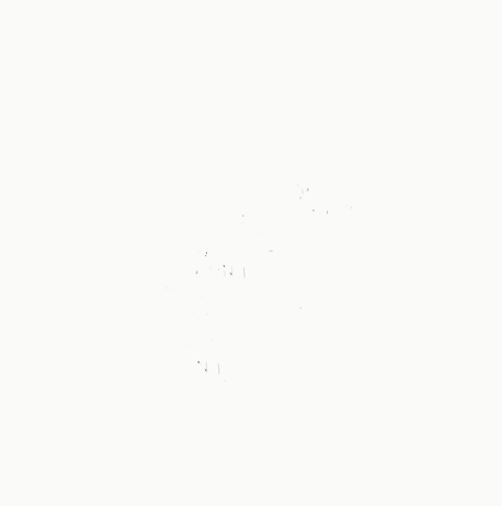 CCOC(=O)CCc1ccc(NC(=O)c2cccc(CCN)c2)cc1.Cl